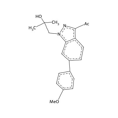 COc1ccc(-c2ccc3c(C(C)=O)nn(CC(C)(C)O)c3c2)cc1